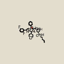 CCCCCNC(=O)[C@@H]1CNC[C@H]1CN(C(=O)[C@H](C)O)C(c1nc(-c2cc(F)ccc2F)cn1Cc1ccccc1)C1CCOCC1